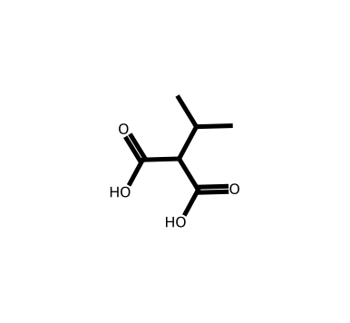 CC(C)C(C(=O)O)C(=O)O